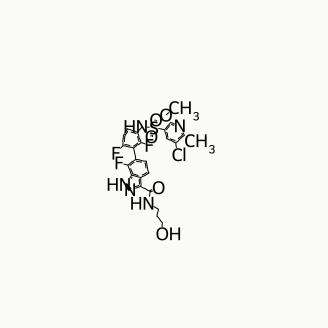 COc1nc(C)c(Cl)cc1S(=O)(=O)Nc1ccc(F)c(-c2ccc3c(C(=O)NCCCO)n[nH]c3c2F)c1F